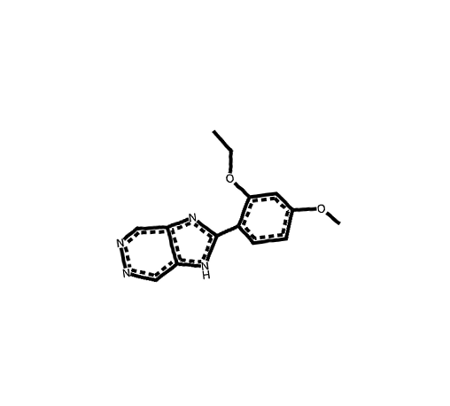 CCOc1cc(OC)ccc1-c1nc2cnncc2[nH]1